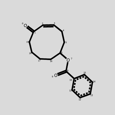 O=C1C=CCCC(OC(=O)c2ccccc2)CCCC1